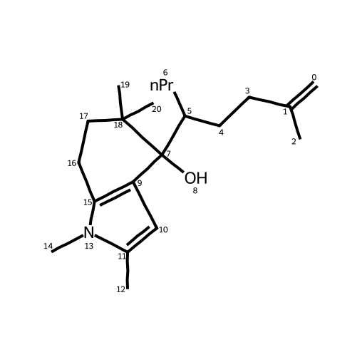 C=C(C)CCC(CCC)C1(O)c2cc(C)n(C)c2CCC1(C)C